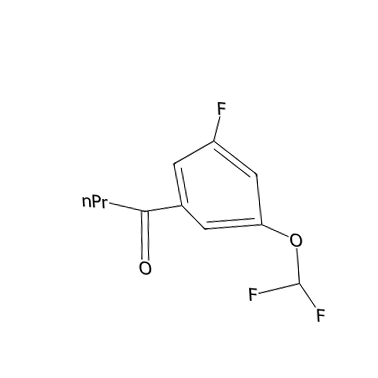 CCCC(=O)c1cc(F)cc(OC(F)F)c1